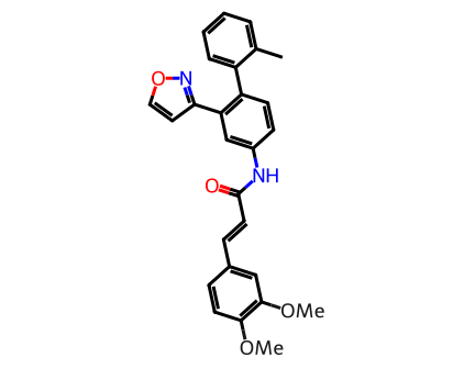 COc1ccc(C=CC(=O)Nc2ccc(-c3ccccc3C)c(-c3ccon3)c2)cc1OC